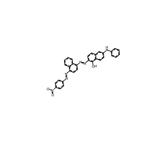 O=[N+]([O-])c1ccc(N=Nc2ccc(N=Nc3ccc4cc(Nc5ccccc5)ccc4c3O)c3ccccc23)cc1